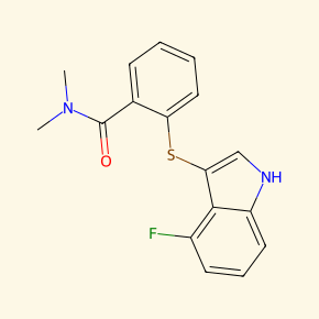 CN(C)C(=O)c1ccccc1Sc1c[nH]c2cccc(F)c12